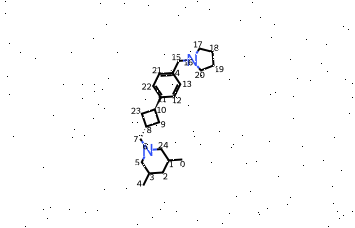 CC1CC(C)CN(C[C@H]2C[C@H](c3ccc(CN4CCCC4)cc3)C2)C1